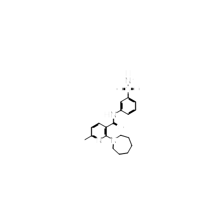 Cc1ccc(C(=O)Nc2cccc(S(N)(=O)=O)c2)c(N2CCCCCC2)n1